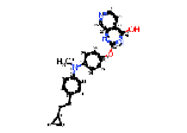 CN(c1ccc(CCC2CC2)cc1)c1ccc(Oc2nc(O)c3ccncc3n2)cc1